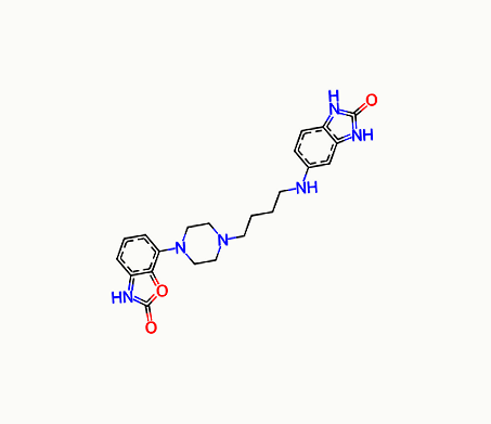 O=c1[nH]c2ccc(NCCCCN3CCN(c4cccc5[nH]c(=O)oc45)CC3)cc2[nH]1